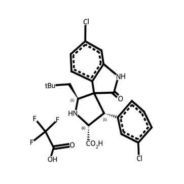 CC(C)(C)C[C@@H]1N[C@@H](C(=O)O)[C@@H](c2cccc(Cl)c2)C12C(=O)Nc1cc(Cl)ccc12.O=C(O)C(F)(F)F